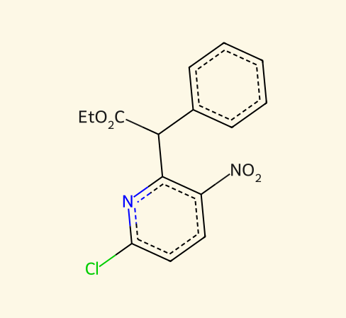 CCOC(=O)C(c1ccccc1)c1nc(Cl)ccc1[N+](=O)[O-]